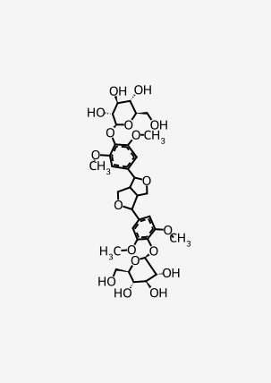 COc1cc(C2OCC3C(c4cc(OC)c(O[C@@H]5O[C@H](CO)[C@@H](O)[C@H](O)[C@H]5O)c(OC)c4)OCC23)cc(OC)c1O[C@@H]1O[C@H](CO)[C@@H](O)[C@H](O)[C@H]1O